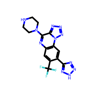 FC(F)(F)c1cc2nc(N3CCNCC3)c3nnnn3c2cc1-c1nn[nH]n1